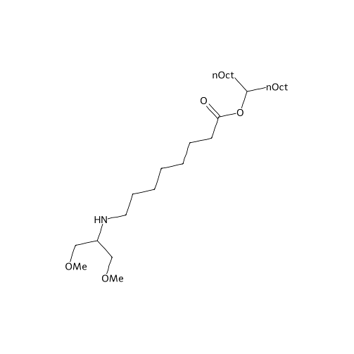 CCCCCCCCC(CCCCCCCC)OC(=O)CCCCCCCNC(COC)COC